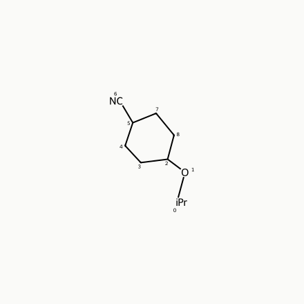 CC(C)OC1CCC(C#N)CC1